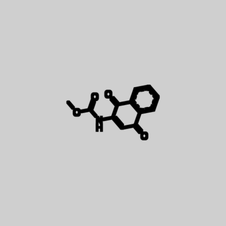 COC(=O)NC1=CC(=O)c2ccccc2C1=O